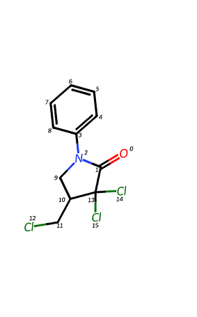 O=C1N(c2ccccc2)CC(CCl)C1(Cl)Cl